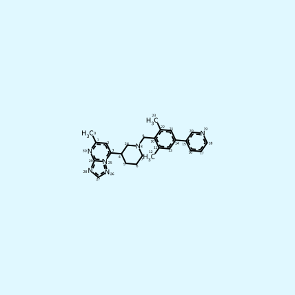 Cc1cc(C2CCCN(Cc3c(C)cc(-c4cccnc4)cc3C)C2)n2ncnc2n1